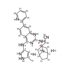 Cc1cc(Nc2nc(N[C@@H]3C[C@H]4CC[C@@H](C3)N4CCC#N)nc3cc(-c4ccccn4)ccc23)n[nH]1